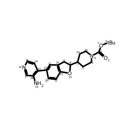 CC(C)(C)OC(=O)N1CCC(C2Cc3cc(-c4ccncc4N)ccc3O2)CC1